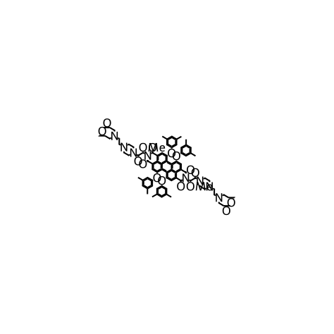 COC(C(=O)N1CCN(CCN(CC2CO2)CC2CO2)CC1)N1C(=O)c2cc(Oc3cc(C)cc(C)c3)c3c4c(Oc5cc(C)cc(C)c5)cc5c6c(cc(Oc7cc(C)cc(C)c7)c(c7c(Oc8cc(C)cc(C)c8)cc(c2c37)C1=O)c64)C(=O)N(C(OC)C(=O)N1CCN(CCN(CC2CO2)CC2CO2)CC1)C5=O